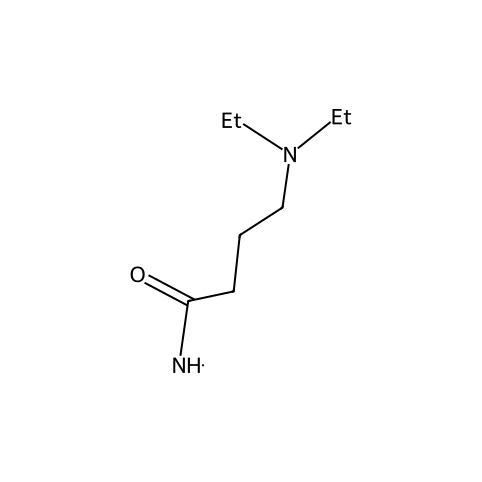 CCN(CC)CCCC([NH])=O